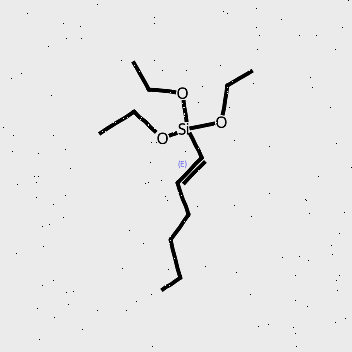 CCCC/C=C/[Si](OCC)(OCC)OCC